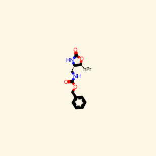 CCC[C@H]1OC(=O)N[C@H]1CNC(=O)OCc1ccccc1